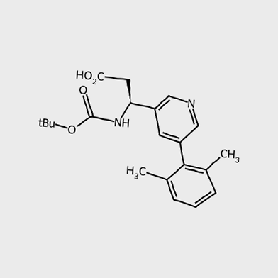 Cc1cccc(C)c1-c1cncc([C@H](CC(=O)O)NC(=O)OC(C)(C)C)c1